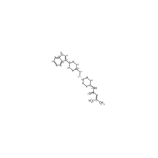 CC(C)=CC(=O)N[C@H]1CC[C@H](CCN2CCC(c3coc4ccccc34)CC2)CC1